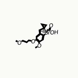 COCCCOc1cc(CC2(NC(=O)O)CC2)c(Br)cc1OC